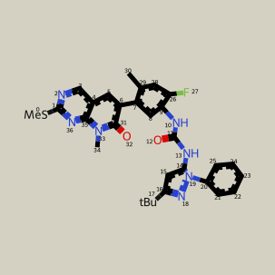 CSc1ncc2cc(-c3cc(NC(=O)Nc4cc(C(C)(C)C)nn4-c4ccccc4)c(F)cc3C)c(=O)n(C)c2n1